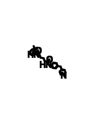 CC(C)(C)S(=O)(=O)NCCCCC(=O)Nc1ccc(Cc2ccncc2)cc1